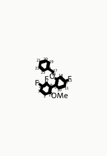 COc1[c]cc(F)c(F)c1-c1ccc(F)cc1OCc1ccccc1